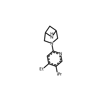 CCc1cc(N2CC3CC(C2)N3)ncc1C(C)C